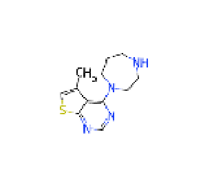 Cc1csc2ncnc(N3CCCNCC3)c12